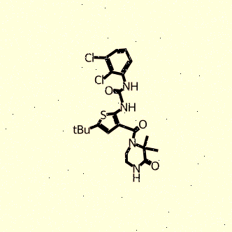 CC(C)(C)c1cc(C(=O)N2CCNC(=O)C2(C)C)c(NC(=O)Nc2cccc(Cl)c2Cl)s1